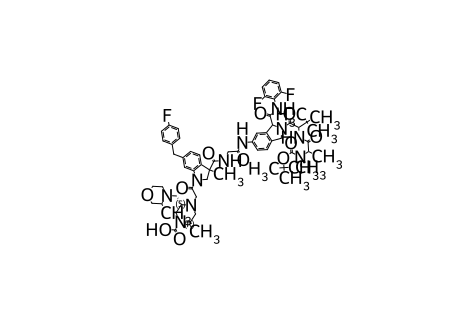 CC1COCCN1C[C@H]1CN(C(=O)O)[C@H](C)CN1CC(=O)N1CC(C)(C(=O)NCC(=O)Nc2ccc3c(c2)C(C(=O)Nc2c(F)cccc2F)N(C(=O)C(NC(=O)C(C)N(C)C(=O)OC(C)(C)C)C(C)(C)C)C3)c2ccc(Cc3ccc(F)cc3)cc21